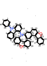 c1ccc(-n2c3ccccc3c3c(N(c4ccc5c(ccc6oc7ccccc7c65)c4)c4cccc5oc6ccccc6c45)cccc32)cc1